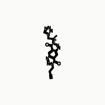 C#CCCn1nnc2cc3c(=O)n([C@H](C)Cn4cnnn4)nnc3cc2c1=O